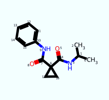 CC(C)NC(=O)C1(C(=O)Nc2ccccc2)CC1